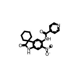 O=C(Nc1cc2c(cc1[N+](=O)[O-])NC(=O)C21CCCCC1)c1ccncc1